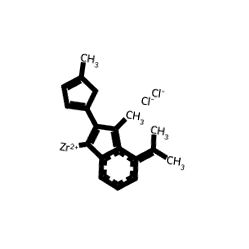 CC1=CC=C(C2=[C]([Zr+2])c3cccc(=C(C)C)c3=C2C)C1.[Cl-].[Cl-]